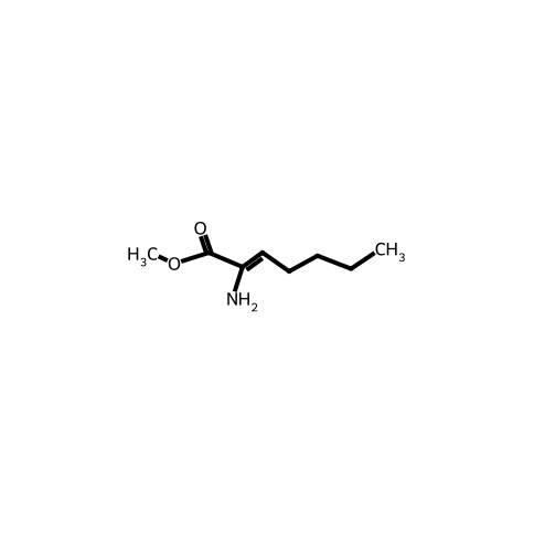 CCCCC=C(N)C(=O)OC